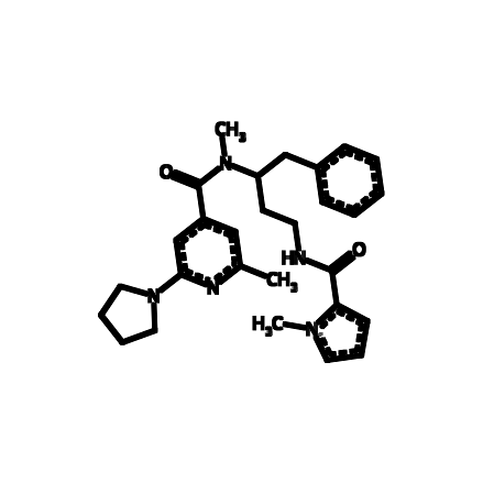 Cc1cc(C(=O)N(C)C(CCNC(=O)c2cccn2C)Cc2ccccc2)cc(N2CCCC2)n1